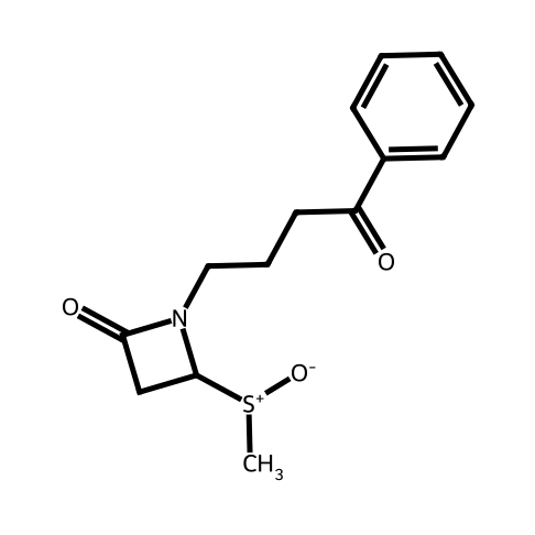 C[S+]([O-])C1CC(=O)N1CCCC(=O)c1ccccc1